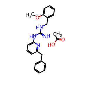 CC(=O)O.COc1ccccc1CNC(=N)Nc1cccc(Cc2ccccc2)n1